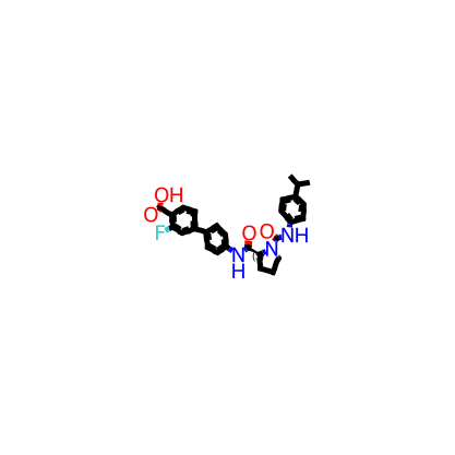 CC(C)c1ccc(NC(=O)N2CCC[C@H]2C(=O)Nc2ccc(-c3ccc(C(=O)O)c(F)c3)cc2)cc1